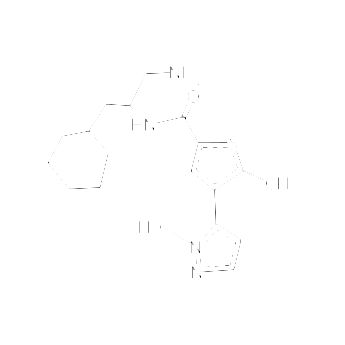 Cc1sc(C(=O)NC(CN)CC2CCCCC2)cc1-c1ccnn1C